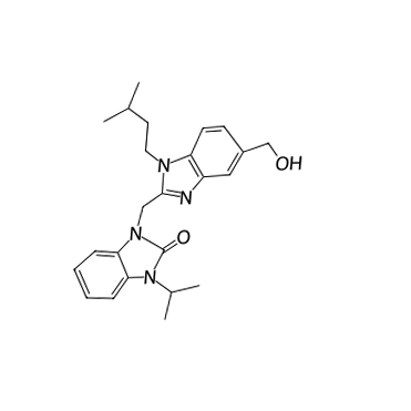 CC(C)CCn1c(Cn2c(=O)n(C(C)C)c3ccccc32)nc2cc(CO)ccc21